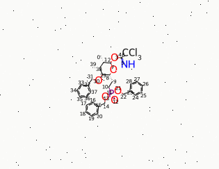 C[C@@H]1[C@@H](OC(=N)C(Cl)(Cl)Cl)O[C@H](CCP(=O)(OCc2ccccc2)OCc2ccccc2)[C@@H](OCc2ccccc2)[C@@H]1C